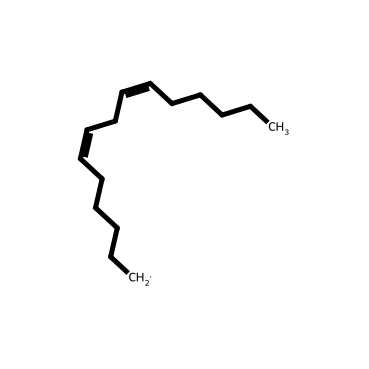 [CH2]CCCC/C=C\C/C=C\CCCCC